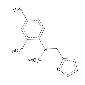 CCOC(=O)N(Cc1ccco1)c1ccc(SC)cc1C(=O)O